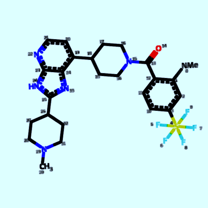 CNc1cc(S(F)(F)(F)(F)F)ccc1C(=O)N1CCC(c2ccnc3[nH]c(C4CCN(C)CC4)nc23)CC1